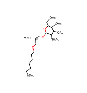 CCCCCCCCCCCCCCCCOC[C@@H](COC1OC(COC(C)=O)C(OC(C)=O)C(OC(C)=O)C1NC(C)=O)OC